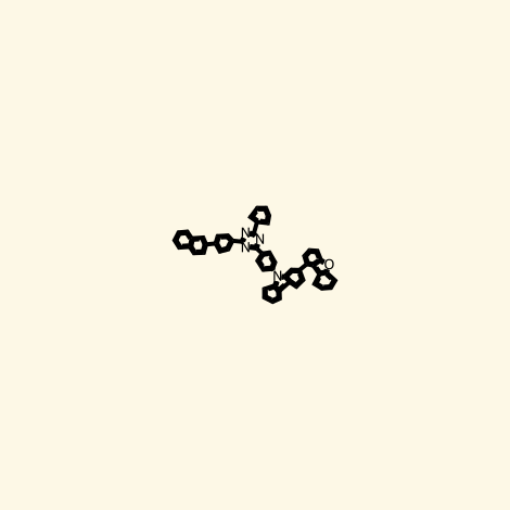 c1ccc(-c2nc(-c3ccc(-c4ccc5ccccc5c4)cc3)nc(-c3ccc(-n4c5ccccc5c5ccc(-c6cccc7oc8ccccc8c67)cc54)cc3)n2)cc1